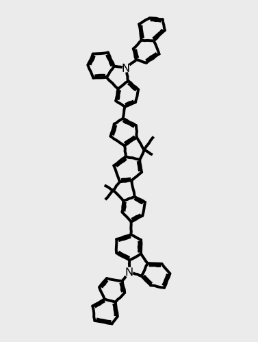 CC1(C)c2cc(-c3ccc4c(c3)c3ccccc3n4-c3ccc4ccccc4c3)ccc2-c2cc3c(cc21)-c1ccc(-c2ccc4c(c2)c2ccccc2n4-c2ccc4ccccc4c2)cc1C3(C)C